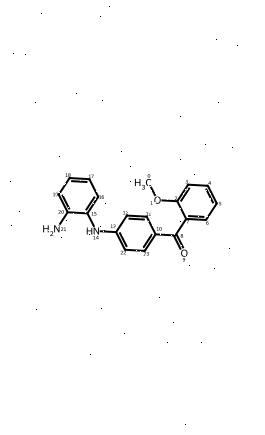 COc1ccccc1C(=O)c1ccc(Nc2ccccc2N)cc1